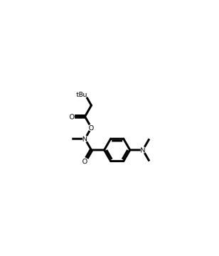 CN(OC(=O)CC(C)(C)C)C(=O)c1ccc(N(C)C)cc1